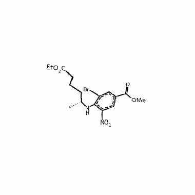 CCOC(=O)CCC[C@@H](C)Nc1c(Br)cc(C(=O)OC)cc1[N+](=O)[O-]